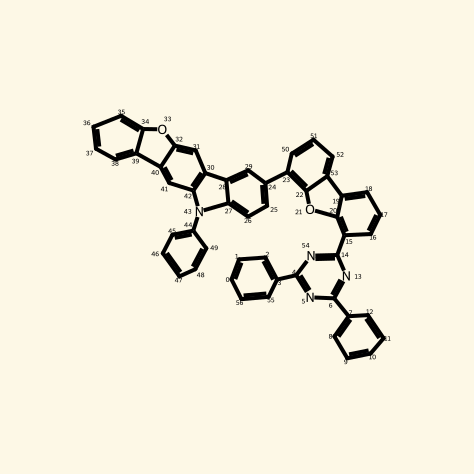 c1ccc(-c2nc(-c3ccccc3)nc(-c3cccc4c3oc3c(-c5ccc6c(c5)c5cc7oc8ccccc8c7cc5n6-c5ccccc5)cccc34)n2)cc1